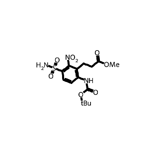 COC(=O)CCc1c(NC(=O)OC(C)(C)C)ccc(S(N)(=O)=O)c1[N+](=O)[O-]